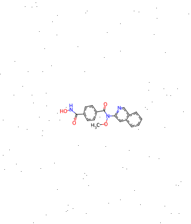 CON(C(=O)c1ccc(C(=O)NO)cc1)c1cc2ccccc2cn1